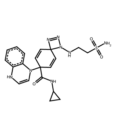 NS(=O)(=O)CCNN1N=NC12C=CC(C(=O)NC1CC1)(N1C=CNc3ccccc31)C=C2